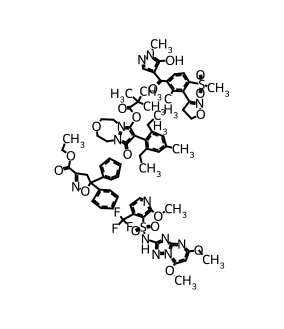 CCOC(=O)C1=NOC(c2ccccc2)(c2ccccc2)C1.CCc1cc(C)cc(CC)c1-c1c(OC(=O)C(C)(C)C)n2n(c1=O)CCOCC2.COc1cc(OC)n2nc(NS(=O)(=O)c3c(C(F)(F)F)ccnc3OC)nc2n1.Cc1c(C(=O)c2cnn(C)c2O)ccc(S(C)(=O)=O)c1C1=NOCC1